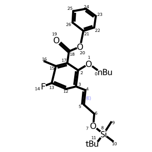 CCCCOc1c(/C=C/CO[Si](C)(C)C(C)(C)C)cc(F)c(C)c1C(=O)Oc1ccccc1